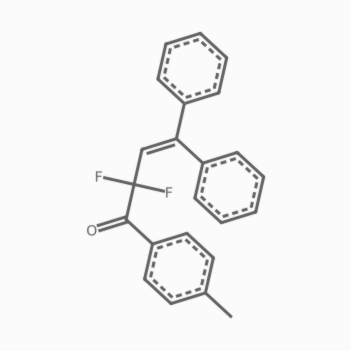 Cc1ccc(C(=O)C(F)(F)C=C(c2ccccc2)c2ccccc2)cc1